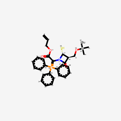 C=CCOC(=O)C(N1C(=O)[C@H](CO[Si](C)(C)C(C)(C)C)[C@H]1S)=P(c1ccccc1)(c1ccccc1)c1ccccc1